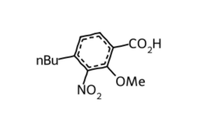 CCCCc1ccc(C(=O)O)c(OC)c1[N+](=O)[O-]